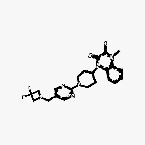 Cn1c(=O)c(=O)n(C2CCN(c3ncc(CN4CC(F)(F)C4)cn3)CC2)c2ccccc21